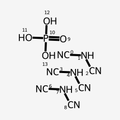 N#CNC#N.N#CNC#N.N#CNC#N.O=P(O)(O)O